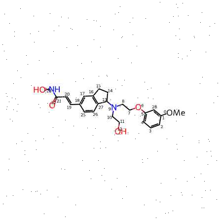 COc1cccc(OCCN(CCO)C2CCc3cc(C=CC(=O)NO)ccc32)c1